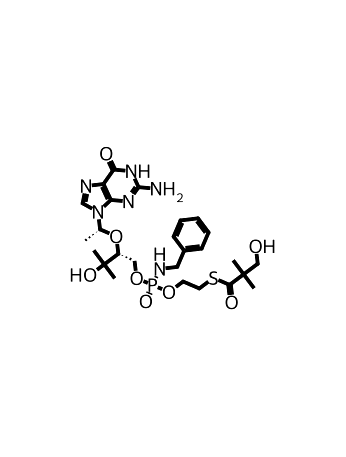 C[C@@H](O[C@H](COP(=O)(NCc1ccccc1)OCCSC(=O)C(C)(C)CO)C(C)(C)O)n1cnc2c(=O)[nH]c(N)nc21